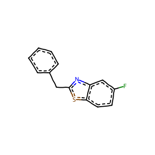 Fc1ccc2sc(Cc3ccccc3)nc2c1